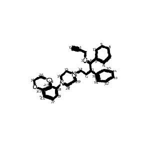 C#CCOC(C1CCCCC1)C(CCN1CCN(c2cccc3c2OCCO3)CC1)c1ccccc1